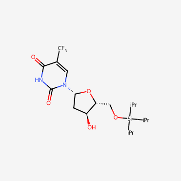 CC(C)[Si](OC[C@H]1O[C@@H](n2cc(C(F)(F)F)c(=O)[nH]c2=O)C[C@@H]1O)(C(C)C)C(C)C